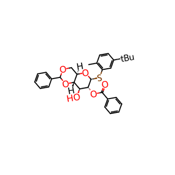 Cc1ccc(C(C)(C)C)cc1S[C@@H]1O[C@@H]2COC(c3ccccc3)O[C@H]2[C@H](O)[C@H]1OC(=O)c1ccccc1